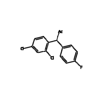 CC(=O)C(c1ccc(F)cc1)c1ccc(Cl)cc1Cl